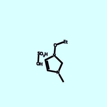 CCON1C=CN(C)C1.O=S(=O)(O)O